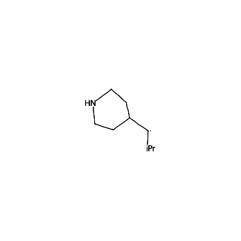 CC(C)[CH]C1CCNCC1